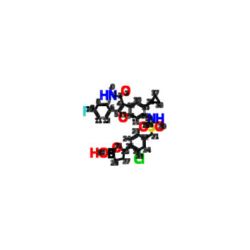 CNC(=O)c1c(-c2ccc(F)cc2)oc2cc(NS(=O)(=O)Cc3ccc(C4CCB(O)O4)c(Cl)c3)c(C3CC3)cc12